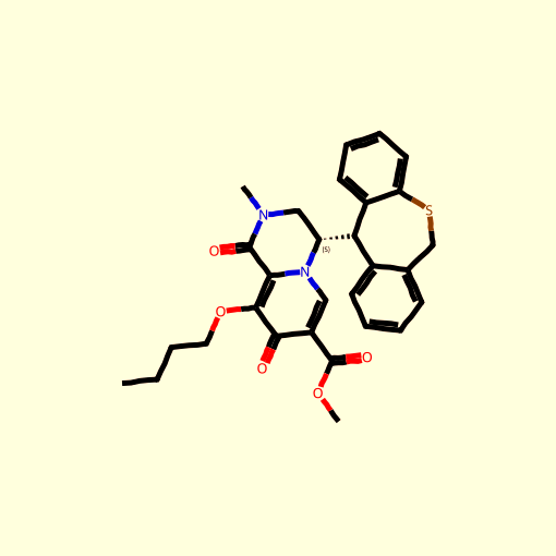 CCCCOc1c2n(cc(C(=O)OC)c1=O)[C@@H](C1c3ccccc3CSc3ccccc31)CN(C)C2=O